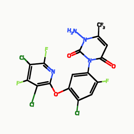 Nn1c(C(F)(F)F)cc(=O)n(-c2cc(Oc3nc(F)c(Cl)c(F)c3Cl)c(Cl)cc2F)c1=O